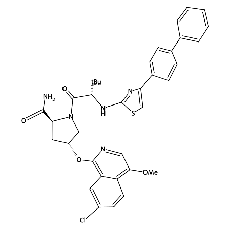 COc1cnc(O[C@@H]2C[C@@H](C(N)=O)N(C(=O)[C@@H](Nc3nc(-c4ccc(-c5ccccc5)cc4)cs3)C(C)(C)C)C2)c2cc(Cl)ccc12